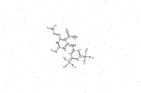 CSc1nc(C=CN(C)C)c(C(=O)O)c(Nc2cc(C(F)(F)F)cc(C(F)(F)F)c2)n1